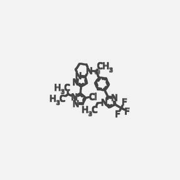 CCn1cc(C(F)(F)F)nc1-c1ccc([C@H](C)N2CCCn3nc(-c4c(Cl)cnn4C(C)C)cc32)cc1